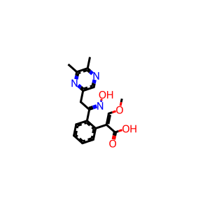 COC=C(C(=O)O)c1ccccc1C(Cc1cnc(C)c(C)n1)=NO